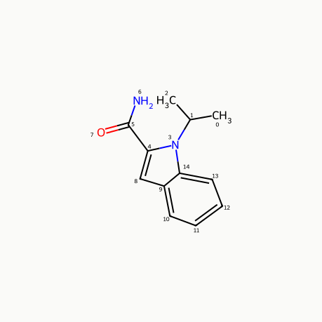 CC(C)n1c(C(N)=O)cc2ccccc21